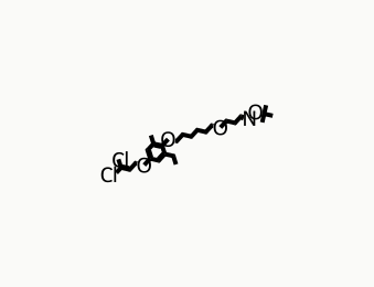 CCc1cc(OCC=C(Cl)Cl)cc(C)c1OCCCCCCOCCC=NOC(C)(C)C